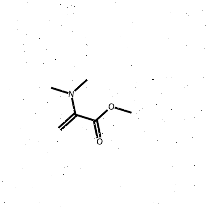 C=C(C(=O)OC)N(C)C